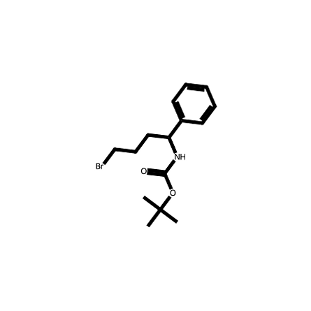 CC(C)(C)OC(=O)NC(CCCBr)c1ccccc1